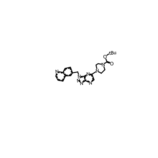 CC(C)(C)OC(=O)N1CCN(c2cnc3nnn(Cc4ccc5ncccc5c4)c3n2)CC1